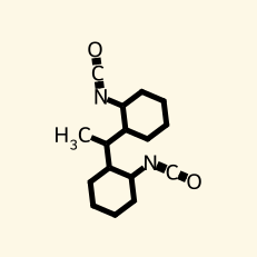 CC(C1CCCCC1N=C=O)C1CCCCC1N=C=O